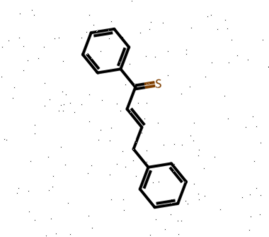 S=C(C=CCc1ccccc1)c1ccccc1